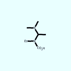 CCN(C(=O)O)C(C)N(C)C